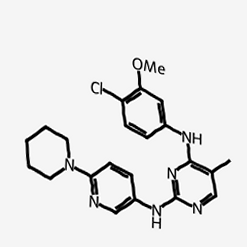 COc1cc(Nc2nc(Nc3ccc(N4CCCCC4)nc3)ncc2C)ccc1Cl